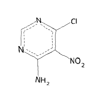 Nc1ncnc(Cl)c1[N+](=O)[O-]